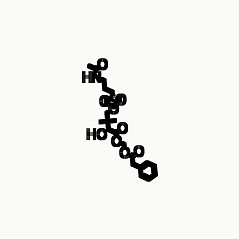 CC(=O)NCCCS(=O)(=O)OCC(C)(C)[C@@H](O)C(=O)OCOC(=O)Cc1ccccc1